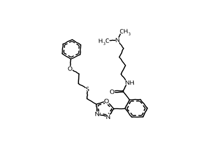 CN(C)CCCCNC(=O)c1ccccc1-c1nnc(CSCCOc2ccccc2)o1